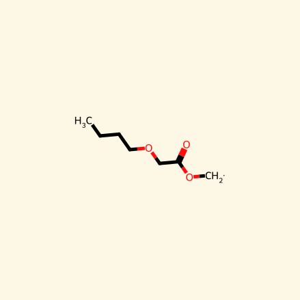 [CH2]OC(=O)COCCCC